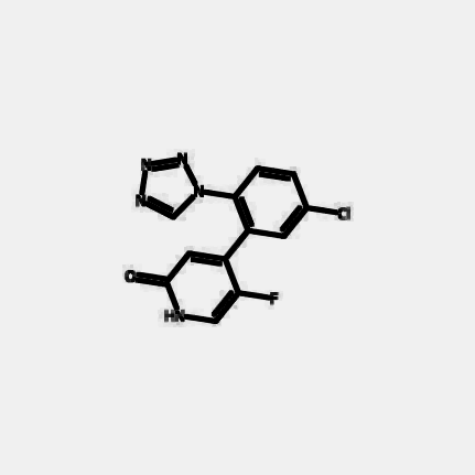 O=c1cc(-c2cc(Cl)ccc2-n2cnnn2)c(F)c[nH]1